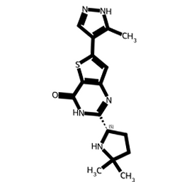 Cc1[nH]ncc1-c1cc2nc([C@@H]3CCC(C)(C)N3)[nH]c(=O)c2s1